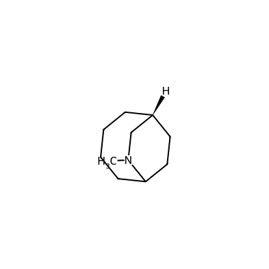 CN1C[C@@H]2CCCCC1CC2